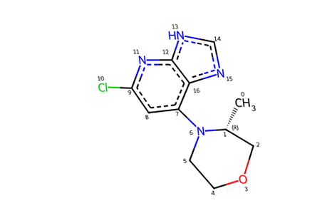 C[C@@H]1COCCN1c1cc(Cl)nc2[nH]cnc12